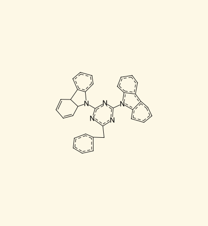 C1=CC2c3ccccc3N(c3nc(Cc4ccccc4)nc(-n4c5ccccc5c5ccccc54)n3)C2C=C1